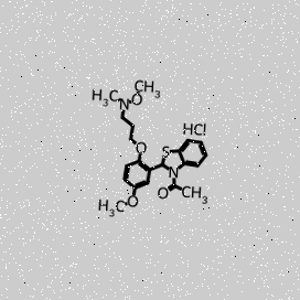 COc1ccc(OCCCN(C)OC)c(C2Sc3ccccc3N2C(C)=O)c1.Cl